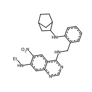 CCNc1cc2ncnc(NCc3ccccc3NC3CC4CCC3C4)c2cc1[N+](=O)[O-]